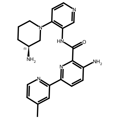 Cc1ccnc(-c2ccc(N)c(C(=O)Nc3cnccc3N3CCC[C@H](N)C3)n2)c1